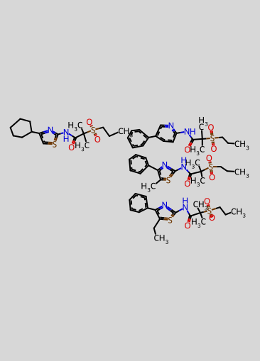 CCCS(=O)(=O)C(C)(C)C(=O)Nc1ccc(-c2ccccc2)cn1.CCCS(=O)(=O)C(C)(C)C(=O)Nc1nc(-c2ccccc2)c(C)s1.CCCS(=O)(=O)C(C)(C)C(=O)Nc1nc(-c2ccccc2)c(CC)s1.CCCS(=O)(=O)C(C)(C)C(=O)Nc1nc(C2CCCCC2)cs1